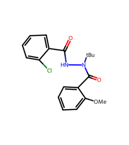 COc1ccccc1C(=O)N(NC(=O)c1ccccc1Cl)C(C)(C)C